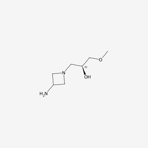 COC[C@@H](O)CN1CC(N)C1